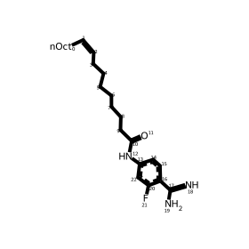 CCCCCCCC/C=C\CCCCCCCC(=O)Nc1ccc(C(=N)N)c(F)c1